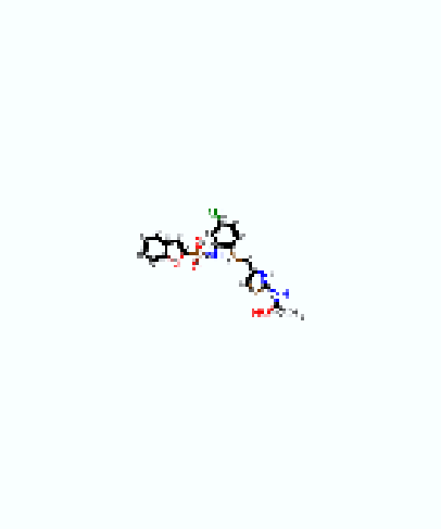 CC(O)Nc1nc(CSc2ccc(Cl)cc2NS(=O)(=O)c2cc3ccccc3o2)cs1